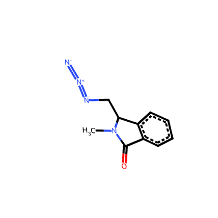 CN1C(=O)c2ccccc2C1CN=[N+]=[N-]